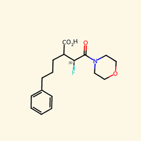 O=C(O)C(CCCc1ccccc1)[C@H](F)C(=O)N1CCOCC1